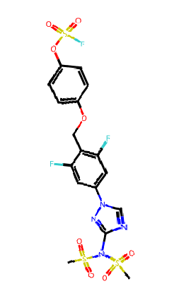 CS(=O)(=O)N(c1ncn(-c2cc(F)c(COc3ccc(OS(=O)(=O)F)cc3)c(F)c2)n1)S(C)(=O)=O